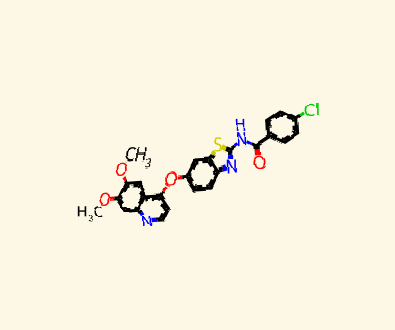 COc1cc2nccc(Oc3ccc4nc(NC(=O)c5ccc(Cl)cc5)sc4c3)c2cc1OC